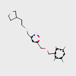 Fc1cc(F)c(F)c(COCc2cc(CNCCC3CCOC3)no2)c1F